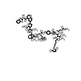 CCCC1(OCCN(CCS(=O)(=O)O)C(=O)OCc2ccc(NC(=O)[C@H](CCCNC(N)=O)NC(=O)[C@@H](NC(=O)CCCCCN3C(=O)C=CC3=O)C(C)C)cc2)CC2(C)CCCC(Cn3ncc(-c4ccc(-c5ccc6nccc(C(=O)Nc7nc8ccccc8s7)c6c5)nc4C(=O)O)c3C)(C2)C1